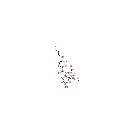 CCCCOc1ccc(C(=O)Nc2ccc(Br)cc2P(=O)(OCC)OCC)cc1